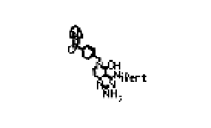 CCC[C@@H](C)Nc1nc(N)nc2ccn(Cc3ccc(C(=O)N4CC5CC(C4)N5)cc3)c(=O)c12